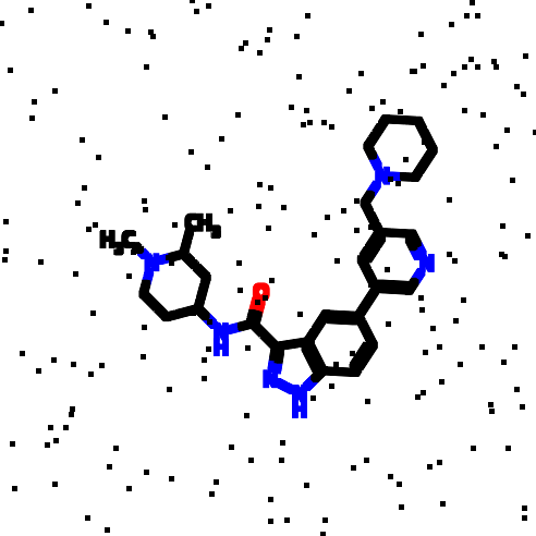 CC1CC(NC(=O)c2n[nH]c3ccc(-c4cncc(CN5CCCCC5)c4)cc23)CCN1C